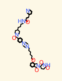 O=C(/C=C/c1cccnc1)NCCCCC1CCN(C(=O)c2ccc(N3CCN(CCCCCCOc4cccc5c4CN(C4CCC(=O)NC4=O)C5=O)CC3)cc2)CC1